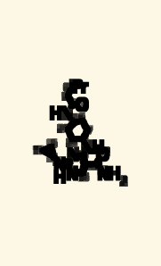 CC(C)CC(=O)N[C@H]1CC[C@H](Nc2nc(NC3CC3)ncc2C(N)=O)CC1